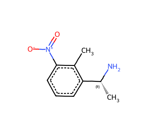 Cc1c([C@@H](C)N)cccc1[N+](=O)[O-]